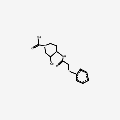 O=C(COc1ccccc1)NC1CCN(C(=O)O)CC1O